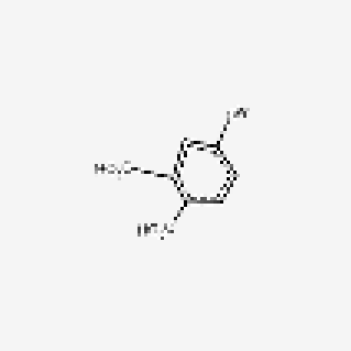 [CH2]CCc1ccc(C(=O)O)c(C(=O)O)c1